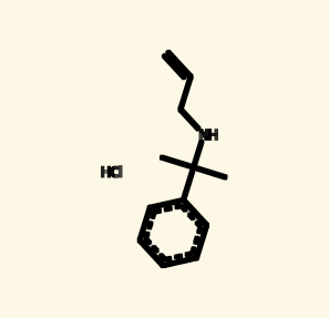 C=CCNC(C)(C)c1ccccc1.Cl